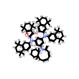 C=C1/C=C\C=C/CC2(C)CCCCC2(C)N1c1cc2c3c(c1)N(C1C=CC4=C(C1)C(C)(C)CCC4(C)C)c1oc4c(c1B3c1cc3c(cc1N2c1ccc2c(c1)C(C)(C)CCC2(C)C)C(C)(C)CCC3(C)C)C(C)(C)CCC4(C)C